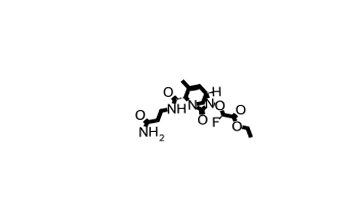 CCOC(=O)[C@H](F)ON1C(=O)N2C[C@H]1C=C(C)[C@H]2C(=O)NCCC(N)=O